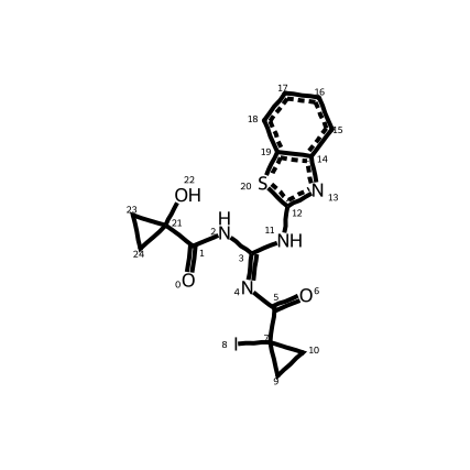 O=C(N/C(=N/C(=O)C1(I)CC1)Nc1nc2ccccc2s1)C1(O)CC1